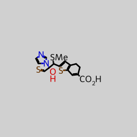 CSC(c1cc2c(s1)C=C(C(=O)O)CC2)C(O)(C=S)n1ccnc1